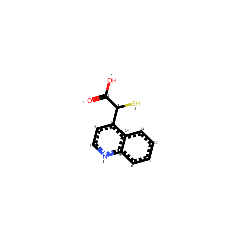 O=C(O)C(S)c1ccnc2ccccc12